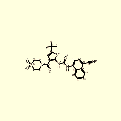 CC(C)(C)c1cc(C(=O)N2CCS(=O)(=O)CC2)c(NC(=O)Nc2ccc(C#N)c3ccccc23)s1